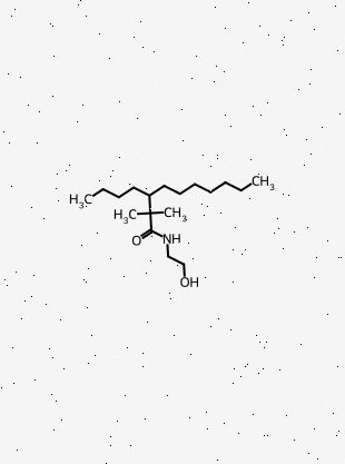 CCCCCCCC(CCCC)C(C)(C)C(=O)NCCO